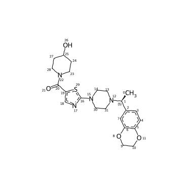 C[C@@H](c1ccc2c(c1)OCCO2)N1CCN(c2ncc(C(=O)N3CCC(O)CC3)s2)CC1